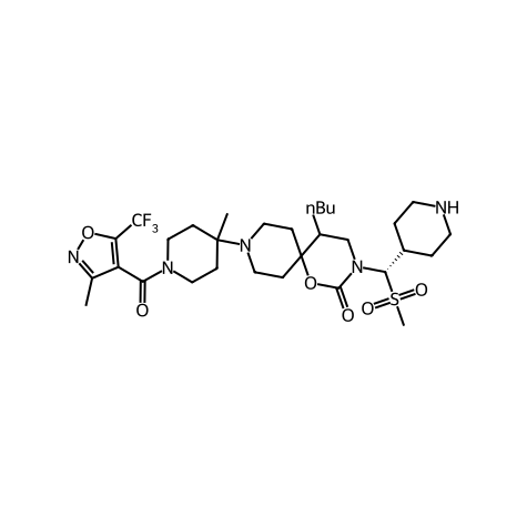 CCCCC1CN([C@H](C2CCNCC2)S(C)(=O)=O)C(=O)OC12CCN(C1(C)CCN(C(=O)c3c(C)noc3C(F)(F)F)CC1)CC2